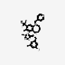 Cc1cc2c(cc1C(F)(F)F)N(Cc1ccncc1)CCC[C@@H]2N(Cc1cc(Cl)cc(Cl)c1)c1nnn(C)n1